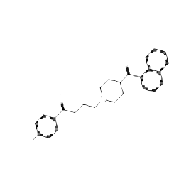 O=C(CCCN1CCC(C(=O)c2cccc3ccccc23)CC1)c1ccc(F)cc1